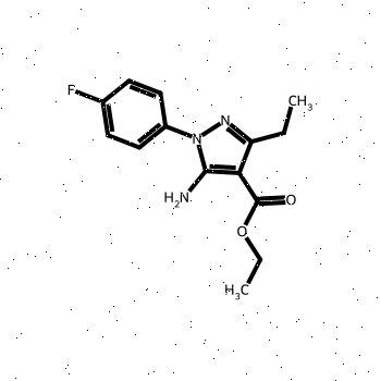 CCOC(=O)c1c(CC)nn(-c2ccc(F)cc2)c1N